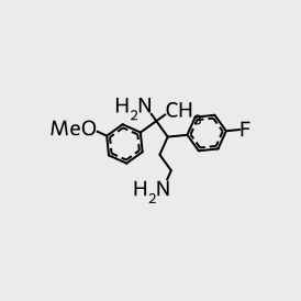 COc1cccc(C(C)(N)C(CCN)c2ccc(F)cc2)c1